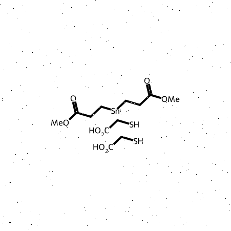 COC(=O)C[CH2][Sn][CH2]CC(=O)OC.O=C(O)CS.O=C(O)CS